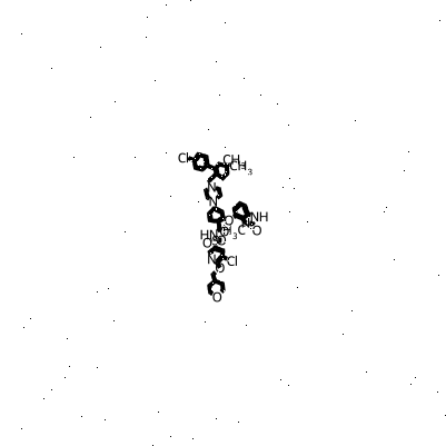 Cn1c(=O)[nH]c2cccc(Oc3cc(N4CCN(CC5=C(c6ccc(Cl)cc6)CC(C)(C)CC5)CC4)ccc3C(=O)NS(=O)(=O)c3cnc(OCC4CCOCC4)c(Cl)c3)c21